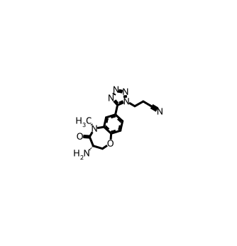 CN1C(=O)[C@@H](N)COc2ccc(-c3nnnn3CCC#N)cc21